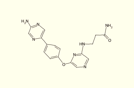 NC(=O)CCNc1cncc(Oc2ccc(-c3cnc(N)cn3)cc2)n1